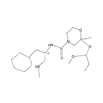 CCC(OC)OC1(C)CN(C(=O)N[C@H](CNC)CC2CCCCC2)CCO1